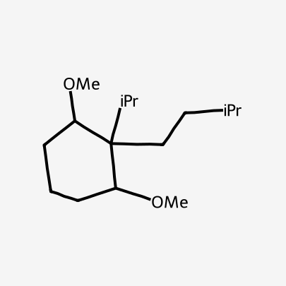 COC1CCCC(OC)C1(CCC(C)C)C(C)C